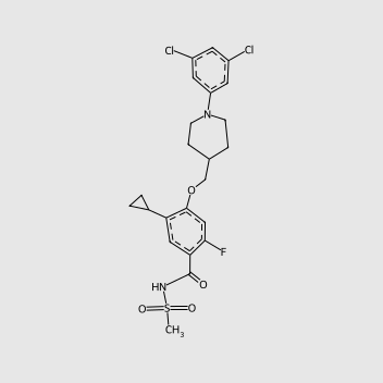 CS(=O)(=O)NC(=O)c1cc(C2CC2)c(OCC2CCN(c3cc(Cl)cc(Cl)c3)CC2)cc1F